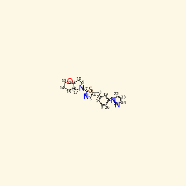 c1cc(Cc2cnc(N3CCC4OCCCC4C3)s2)cc(-n2cccn2)c1